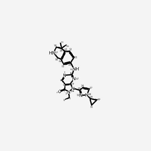 CCn1c(=O)c2cnc(Nc3ccc4c(c3)CNCC4(C)C)nc2n1-c1ccn(C2CC2)n1